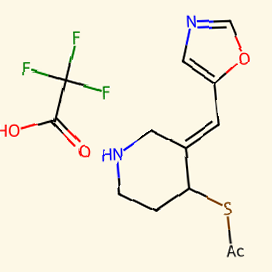 CC(=O)SC1CCNC/C1=C\c1cnco1.O=C(O)C(F)(F)F